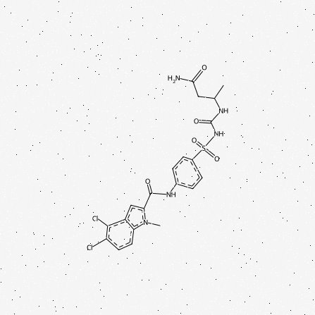 CC(CC(N)=O)NC(=O)NS(=O)(=O)c1ccc(NC(=O)c2cc3c(Cl)c(Cl)ccc3n2C)cc1